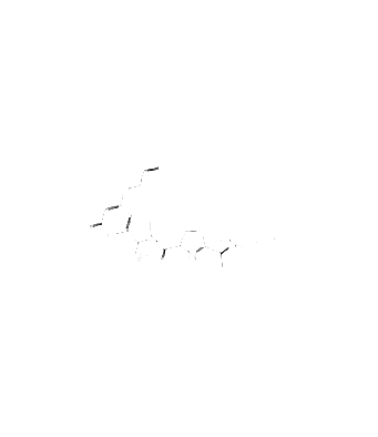 C=CCOc1cc(C(CCC)NC(=O)C2CSC(/C(C)=N/OC(=O)OCC)=N2)oc(=O)c1